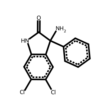 NC1(c2ccccc2)C(=O)Nc2cc(Cl)c(Cl)cc21